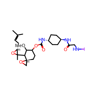 COC1C(OC(=O)N[C@H]2CC[C@H](NC(=O)CNI)CC2)CC[C@]2(CO2)C1C1(C)O[C@@H]1CC=C(C)C